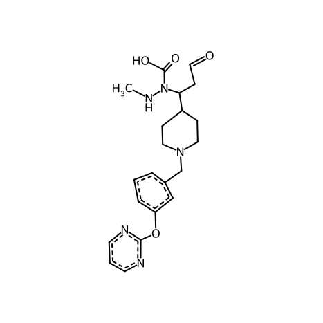 CNN(C(=O)O)C(CC=O)C1CCN(Cc2cccc(Oc3ncccn3)c2)CC1